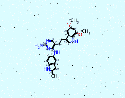 COc1cc(OC)c2[nH]cc(CCc3cnc(N)nc3Nc3ccc4[nH]c(C)cc4c3)c2c1